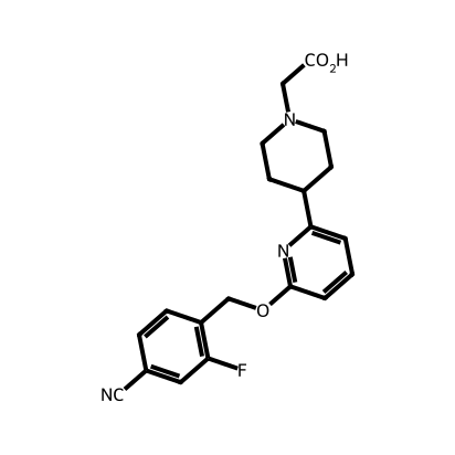 N#Cc1ccc(COc2cccc(C3CCN(CC(=O)O)CC3)n2)c(F)c1